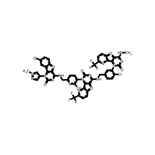 CNc1nc(=O)n(-c2cc(CNc3nc(=O)n(-c4ccc(CNc5nc(=O)n(-c6cnn(C)c6)c6c5oc5ccc(Cl)cc56)nc4C)c4c3oc3ccc(C(F)(F)F)nc34)ccc2Cl)c2c1oc1ccc(C(F)(F)F)nc12